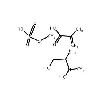 C=C(C)C(=O)O.CCC(N)N(C)C.COS(=O)(=O)O